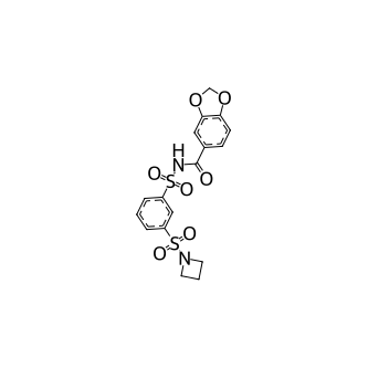 O=C(NS(=O)(=O)c1cccc(S(=O)(=O)N2CCC2)c1)c1ccc2c(c1)OCO2